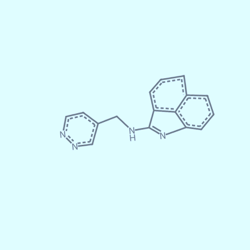 c1cc2c3c(cccc3c1)C(NCc1ccnnc1)=N2